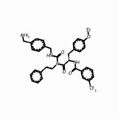 CCOc1ccc(C[C@@H](NC(=O)c2cccc(C(F)(F)F)c2)C(=O)N(CCc2ccccc2)C(=O)NCc2ccc(CN)cc2)cc1